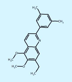 CCc1cc2nc(-c3cc(C)cc(C)c3)ccc2c(OC)c1OC